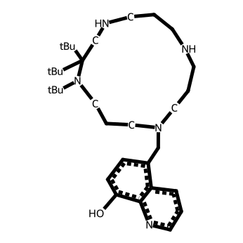 CC(C)(C)N1CCCN(Cc2ccc(O)c3ncccc23)CCCNCCCNCC1(C(C)(C)C)C(C)(C)C